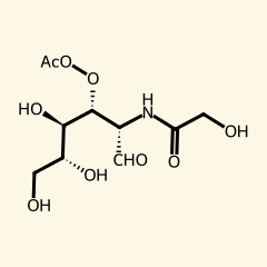 CC(=O)OO[C@@H]([C@H](O)[C@H](O)CO)[C@@H](C=O)NC(=O)CO